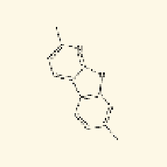 Cc1ccc2c(c1)oc1nc(C)ccc12